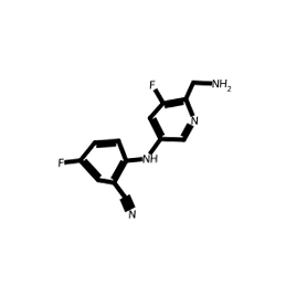 N#Cc1cc(F)ccc1Nc1cnc(CN)c(F)c1